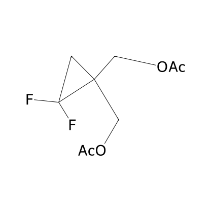 CC(=O)OCC1(COC(C)=O)CC1(F)F